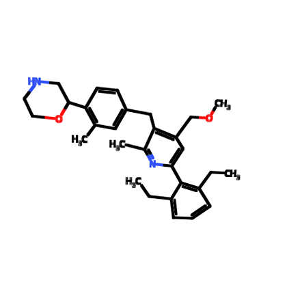 CCc1cccc(CC)c1-c1cc(COC)c(Cc2ccc(C3CNCCO3)c(C)c2)c(C)n1